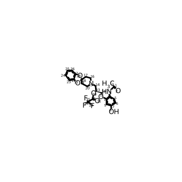 CC(=O)Nc1ccc(O)cc1OC[C@H](CN1CCC2(CC1)Oc1ccccc1O2)OC(=O)C(F)(F)F